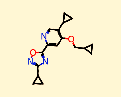 c1c(-c2nc(C3CC3)no2)ncc(C2CC2)c1OCC1CC1